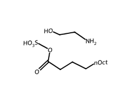 CCCCCCCCCCCC(=O)OS(=O)(=O)O.NCCO